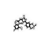 COc1cc(F)cc(F)c1-n1nc2c(-c3ccc4c(c3)CN(C)CC4)n[nH]c2cc1=O